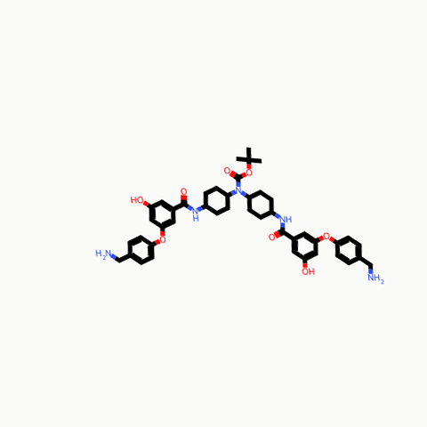 CC(C)(C)OC(=O)N(C1CCC(NC(=O)c2cc(O)cc(Oc3ccc(CN)cc3)c2)CC1)C1CCC(NC(=O)c2cc(O)cc(Oc3ccc(CN)cc3)c2)CC1